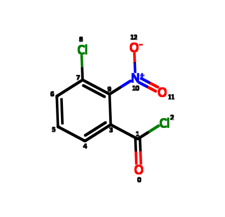 O=C(Cl)c1cccc(Cl)c1[N+](=O)[O-]